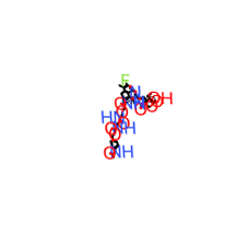 CC[C@@]1(O)C(=O)OCc2c1cc1n(c2=O)Cc2c-1nc1cc(F)c(C)c3c1c2[C@@H](NC(=O)COCNC(=O)CNC(=O)OCc1ccc(NC(C)=O)cc1)CC3